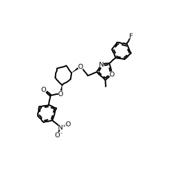 Cc1oc(-c2ccc(F)cc2)nc1CO[C@@H]1CCC[C@H](OC(=O)c2cccc([N+](=O)[O-])c2)C1